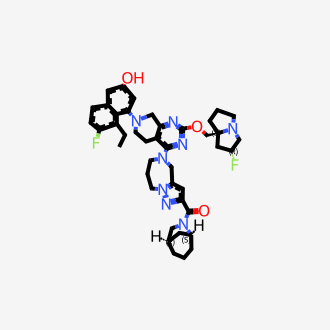 CCc1c(F)ccc2cc(O)cc(N3CCc4c(nc(OC[C@@]56CCCN5C[C@H](F)C6)nc4N4CCCn5nc(C(=O)N6C[C@@H]7CCC[C@H]6C7)cc5C4)C3)c12